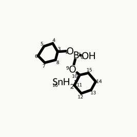 OB(OC1CCCCC1)OC1CCCCC1.[SnH2]